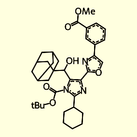 COC(=O)c1cccc(-c2coc(-c3nc(C4CCCCC4)n(C(=O)OC(C)(C)C)c3C(O)C34CC5CC(CC(C5)C3)C4)n2)c1